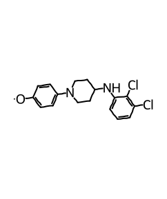 [O]c1ccc(N2CCC(Nc3cccc(Cl)c3Cl)CC2)cc1